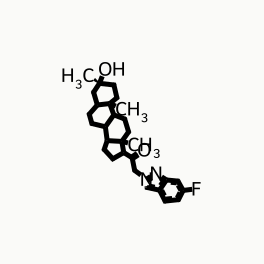 CC12CC[C@@](C)(O)CC1CCC1C2CCC2(C)C(C(=O)Cn3cc4ccc(F)cc4n3)CCC12